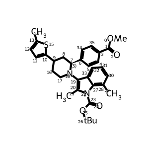 COC(=O)c1ccc([C@@H]2CC(c3ccc(C)s3)CCN2c2c(C)n(C(=O)OC(C)(C)C)c3c(C)cccc23)cc1